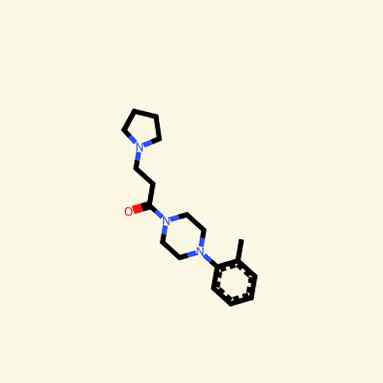 Cc1ccccc1N1CCN(C(=O)CCN2CCCC2)CC1